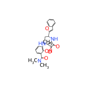 CCC(Nc1c(Nc2cccc(C(=O)N(C)C)c2O)c(=O)c1=O)c1cc2ccccc2o1